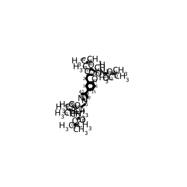 CC(C)(C)OC(=O)NC[C@@H](Cn1cc(-c2ccc3c(c2)CC[C@H](C(C)(ONC(=O)OC(C)(C)C)C(=O)OC(C)(C)C)O3)cn1)O[Si](C)(C)C(C)(C)C